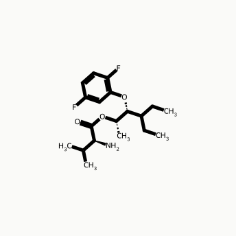 CCC(CC)[C@@H](Oc1cc(F)ccc1F)[C@H](C)OC(=O)[C@@H](N)C(C)C